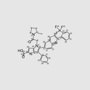 CC1CCCN1C(=O)Cn1c(-c2ccc3nc(-c4ccccc4C(F)(F)F)ccc3c2)c(-c2ccccc2)c2sc(C(=O)O)cc21